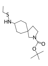 CCSNC1CCC2(CC1)CCN(C(=O)OC(C)(C)C)C2